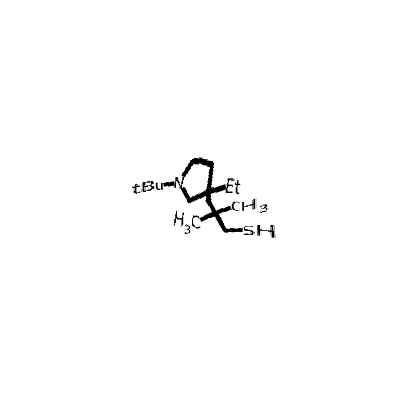 CCC1(C(C)(C)CS)CCN(C(C)(C)C)C1